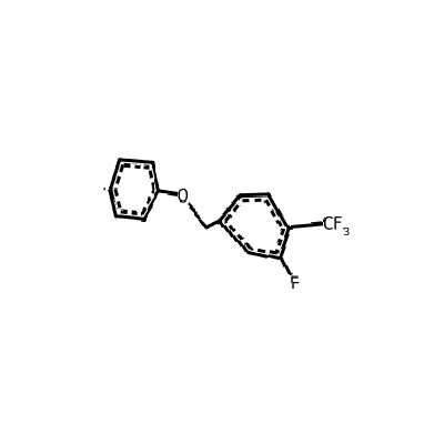 Fc1cc(COc2cc[c]cc2)ccc1C(F)(F)F